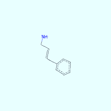 [NH]C/C=C/c1ccccc1